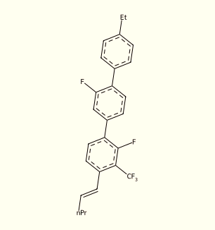 CCC/C=C/c1ccc(-c2ccc(-c3ccc(CC)cc3)c(F)c2)c(F)c1C(F)(F)F